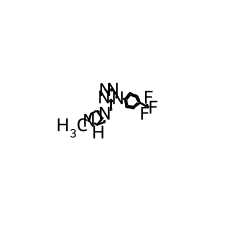 CN1CC2C[C@H]1CN2Cc1nnnn1-c1ccc(C(F)(F)F)cc1